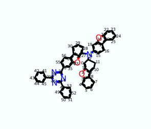 C1=c2oc3ccccc3c2=CCC1N(c1ccc2c(c1)oc1ccccc12)c1cccc2c1oc1cc(-c3nc(-c4ccccc4)nc(-c4ccccc4)n3)ccc12